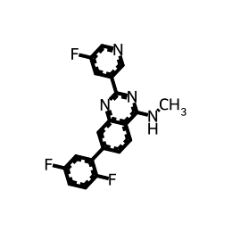 CNc1nc(-c2cncc(F)c2)nc2cc(-c3cc(F)ccc3F)ccc12